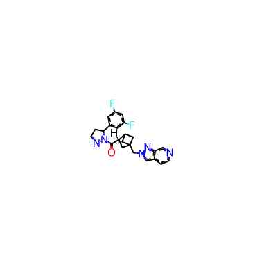 O=C([C@H]1CC2(Cn3cc4ccncc4n3)CC1C2)N1N=CCC1c1cc(F)cc(F)c1